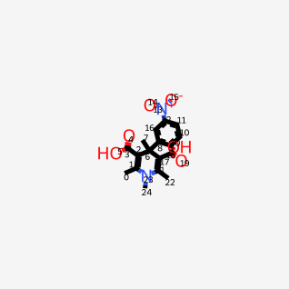 CC1=C(C(=O)O)C(C)(c2cccc([N+](=O)[O-])c2)C(C(=O)O)=C(C)N1C